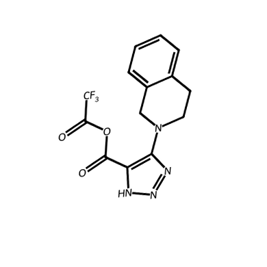 O=C(OC(=O)C(F)(F)F)c1[nH]nnc1N1CCc2ccccc2C1